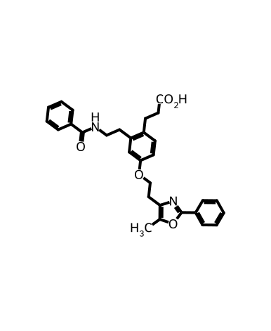 Cc1oc(-c2ccccc2)nc1CCOc1ccc(CCC(=O)O)c(CCNC(=O)c2ccccc2)c1